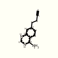 C#C[CH]Cc1ccc2c(N)ncnc2c1